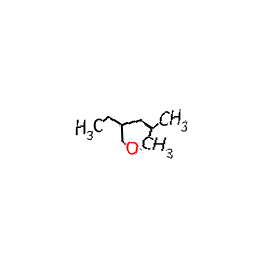 CCC(C[O])CC(C)C